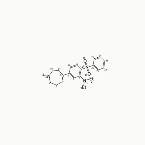 CCN(CC)c1cc(N2CCCN(C)CC2)ccc1S(=O)(=O)c1ccccc1